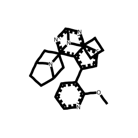 COc1ncccc1-c1csc2ncnc(N3C4CCC3CC(N(C)C3CCC3)C4)c12